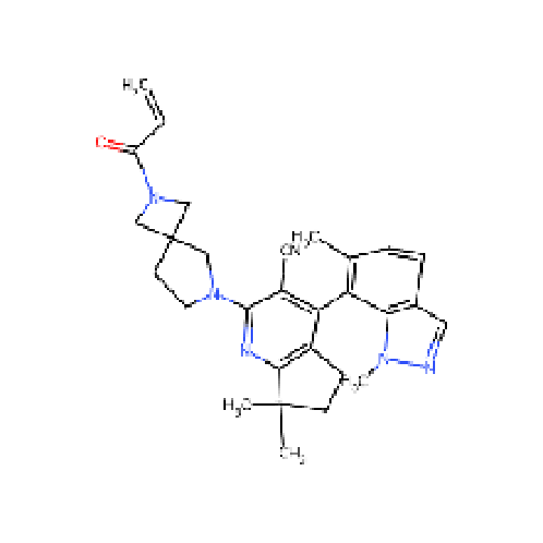 C=CC(=O)N1CC2(CCN(c3nc4c(c(-c5c(C)ccc6cnn(C)c56)c3C#N)CCC4(C)C)C2)C1